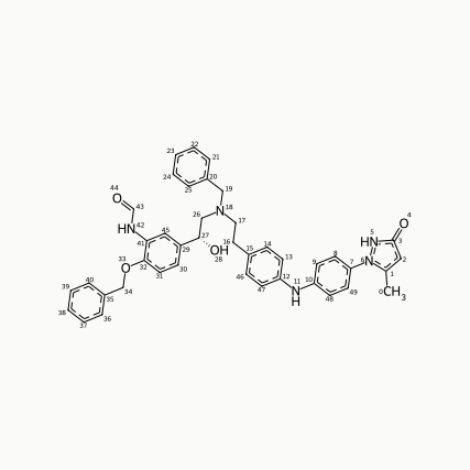 Cc1cc(=O)[nH]n1-c1ccc(Nc2ccc(CCN(Cc3ccccc3)C[C@H](O)c3ccc(OCc4ccccc4)c(NC=O)c3)cc2)cc1